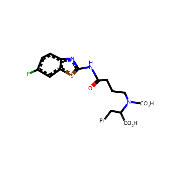 CC(C)CC(C(=O)O)N(CCCC(=O)Nc1nc2ccc(F)cc2s1)C(=O)O